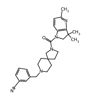 Cc1ccc2c(n1)C(C)(C)CN2C(=O)N1CCC2(CCN(Cc3cccc(C#N)c3)CC2)C1